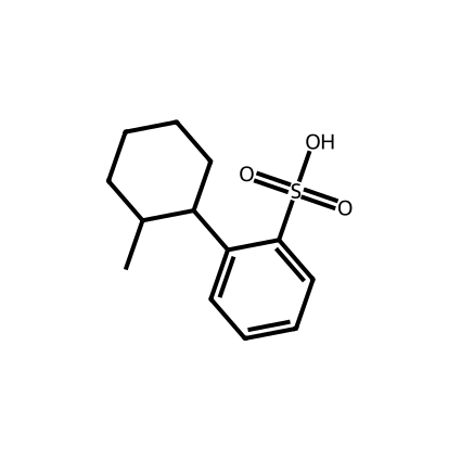 CC1CCCCC1c1ccccc1S(=O)(=O)O